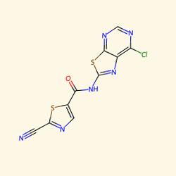 N#Cc1ncc(C(=O)Nc2nc3c(Cl)ncnc3s2)s1